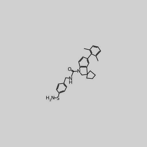 Cc1cccc(C)c1-c1ccc2c(c1)C1(CCCC1)CN2C(=O)NCc1ccc(SN)cc1